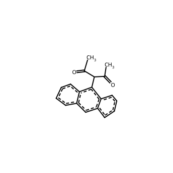 CC(=O)C(C(C)=O)c1c2ccccc2cc2ccccc12